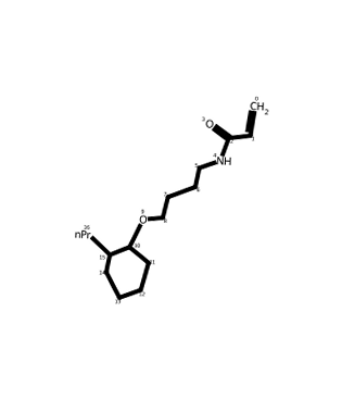 C=CC(=O)NCCCCOC1CCCCC1CCC